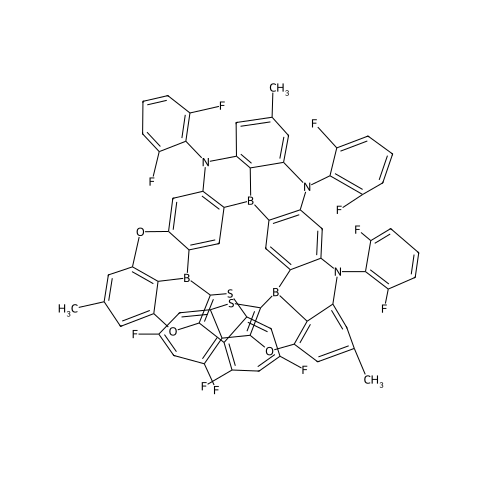 Cc1cc2c3c(c1)Oc1c(sc4cc(F)cc(F)c14)B3c1cc3c(cc1O2)N(c1c(F)cccc1F)c1cc(C)cc2c1B3c1cc3c(cc1N2c1c(F)cccc1F)N(c1c(F)cccc1F)c1cc(C)cc2c1B3c1sc3cc(F)cc(F)c3c1O2